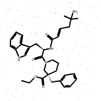 CCOC(=O)[C@]1(Cc2ccccc2)CCCN(C(=O)[C@@H](Cc2c[nH]c3ccccc23)NC(=O)C=CCC(C)(C)N)C1